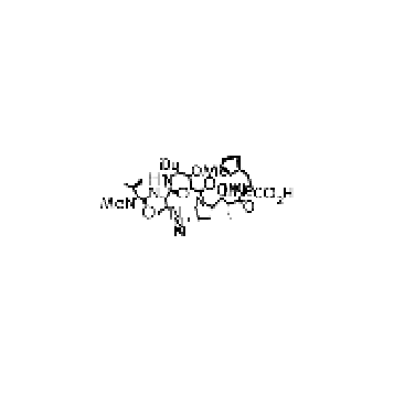 C=C(C)[C@H](NC)C(=O)N[C@H](C(=O)N(C)[C@@H]([C@@H](C)CC)[C@@H](CC(=O)N1CCC[C@H]1[C@H](OC)[C@@H](C)C(=O)N[C@@H](Cc1ccccc1)C(=O)O)OC)C(C)N=[N+]=[N-]